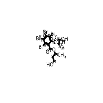 CC(CCO)OC(=O)c1c(Br)c(Br)c(Br)c(Br)c1C(=O)O.CC(O)C[2O]